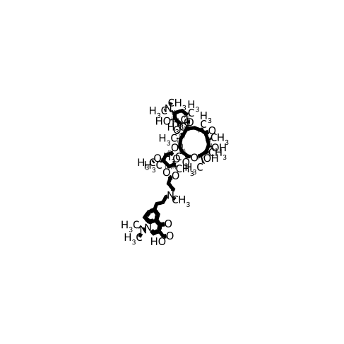 CC[C@H]1OC(=O)[C@H](C)[C@@H](O[C@H]2C[C@@](C)(OC)[C@@H](OC(=O)CCN(C)CCCc3ccc4c(c3)c(=O)c(C(=O)O)cn4N(C)C)[C@H](C)O2)[C@H](C)[C@@H](O[C@@H]2O[C@H](C)C[C@H](N(C)C)[C@H]2O)[C@](C)(OC)C[C@@H](C)C(=O)[C@@H](C)[C@@H](O)[C@]1(C)O